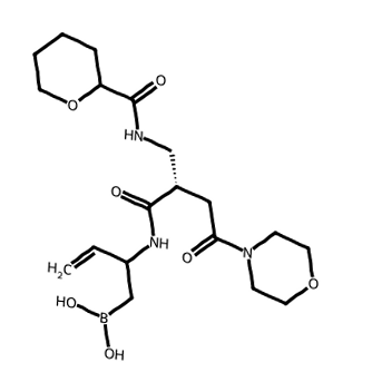 C=CC(CB(O)O)NC(=O)[C@H](CNC(=O)C1CCCCO1)CC(=O)N1CCOCC1